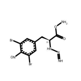 N=NN[C@@H](Cc1cc(Br)c(N=O)c(Br)c1)C(=O)ON